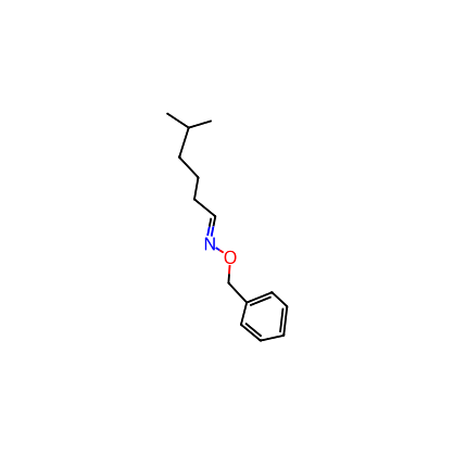 CC(C)CCC/C=N/OCc1ccccc1